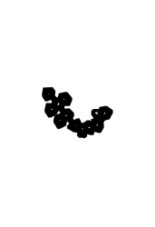 CC1(C)c2ccc(-c3ccc(-c4c5ccccc5c(-c5ccccc5)c5ccccc45)c4ccccc34)cc2-c2cc3c(ccc4c5ccccc5sc34)cc21